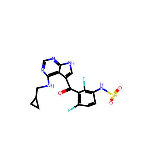 O=C(c1c(F)ccc(N[SH](=O)=O)c1F)c1c[nH]c2ncnc(NCC3CC3)c12